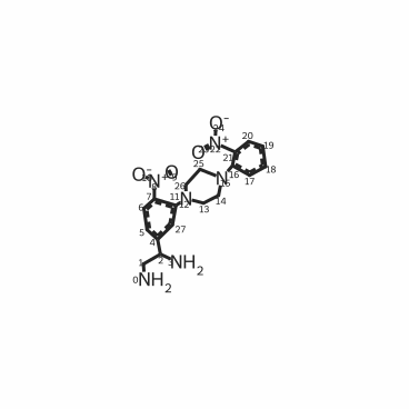 NCC(N)c1ccc([N+](=O)[O-])c(N2CCN(c3ccccc3[N+](=O)[O-])CC2)c1